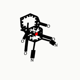 N#Cc1c(C#N)c2c(=O)[nH]c(=O)c1c1c3ccc(c(=O)[nH]c3=O)c21